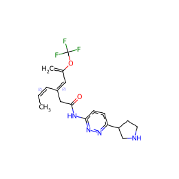 C=C(/C=C(\C=C/C)CC(=O)Nc1ccc(C2CCNC2)nn1)OC(F)(F)F